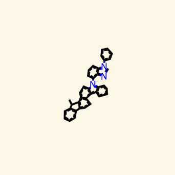 CC1c2ccccc2-c2ccc3c(ccc4c3c3ccccc3n4-c3cccc4c3ncn4-c3ccccc3)c21